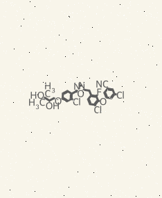 CC(C)(O)[C@@H](O)COc1ccc(-c2nnc(Cc3ccc(Cl)c(Oc4cc(Cl)cc(C#N)c4)c3F)o2)c(Cl)c1